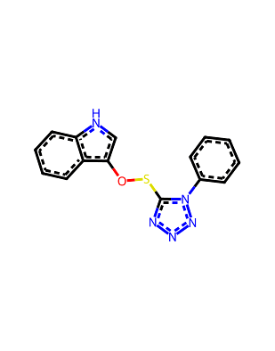 c1ccc(-n2nnnc2SOc2c[nH]c3ccccc23)cc1